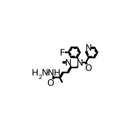 C=N/C(=C\C=C(/C)C(=O)NN)CN(C(=O)c1cccnc1)c1cccc(F)c1